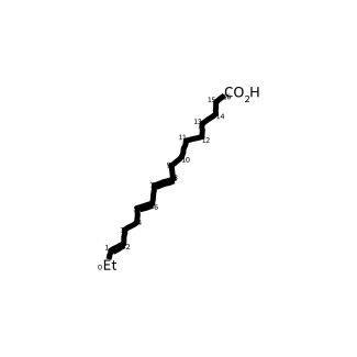 CCC=CCCC=C/C=C/CCCCCCCC(=O)O